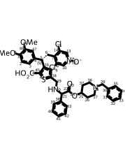 COc1ccc([C@H](Cc2c(Cl)c[n+]([O-])cc2Cl)c2cc(CNC(C(=O)OC3CCN(Cc4ccccc4)CC3)c3ccccc3)sc2C(=O)O)cc1OC